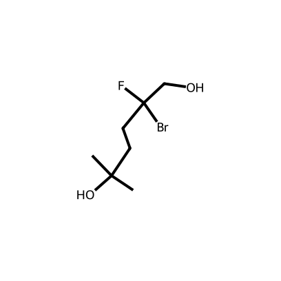 CC(C)(O)CCC(F)(Br)CO